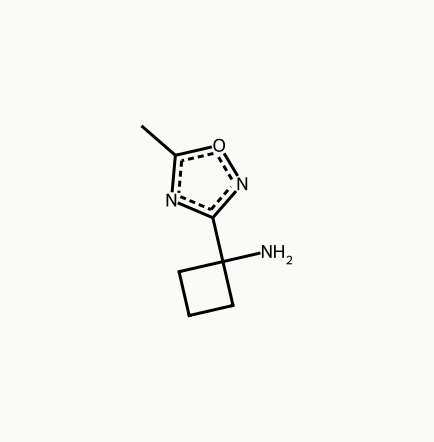 Cc1nc(C2(N)CCC2)no1